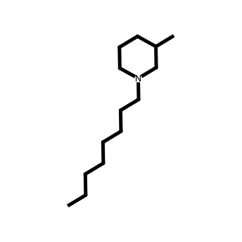 CCCCCCCCN1CCCC(C)C1